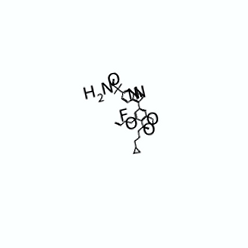 C=CC(F)Oc1cc(-c2cnn3cc(C(C)(C)C(N)=O)ccc23)cc(OC)c1C(=O)CCCC1CC1